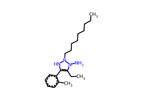 CCCCCCCCCN1NC(c2ccccc2C)=C(CC)N1N